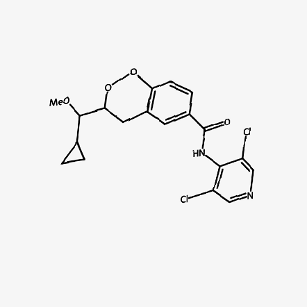 COC(C1CC1)C1Cc2cc(C(=O)Nc3c(Cl)cncc3Cl)ccc2OO1